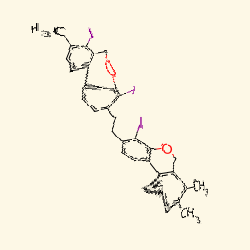 Cc1ccc2c(c1C)COc1c-2ccc(CCc2ccc3c(c2I)OCc2c-3ccc(C)c2I)c1I